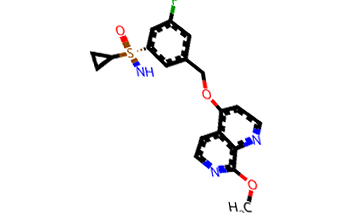 COc1nccc2c(OCc3cc(F)cc([S@@](=N)(=O)C4CC4)c3)ccnc12